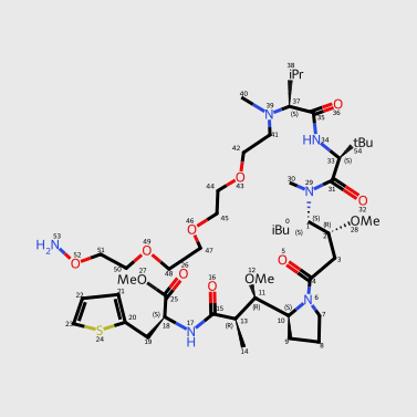 CC[C@H](C)[C@@H]([C@@H](CC(=O)N1CCC[C@H]1[C@H](OC)[C@@H](C)C(=O)N[C@@H](Cc1cccs1)C(=O)OC)OC)N(C)C(=O)[C@@H](NC(=O)[C@H](C(C)C)N(C)CCOCCOCCOCCON)C(C)(C)C